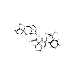 CCC1(C(N)=O)CC2CCC(NC(=O)C3(NS(=O)(=O)c4ccccc4[N+](=O)[O-])CCCC3)C(C2)C1